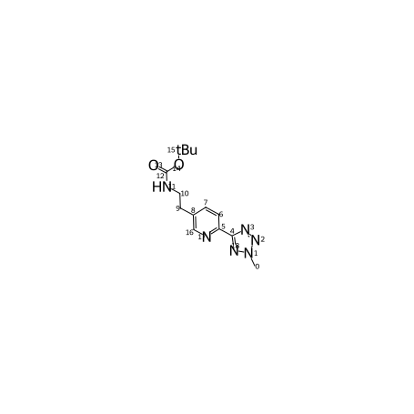 Cn1nnc(-c2ccc(CCNC(=O)OC(C)(C)C)cn2)n1